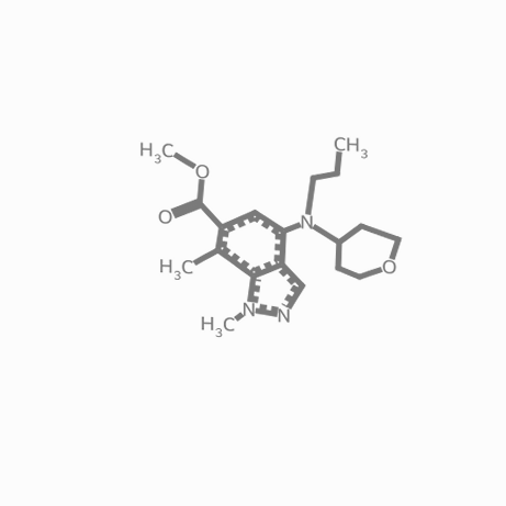 CCCN(c1cc(C(=O)OC)c(C)c2c1cnn2C)C1CCOCC1